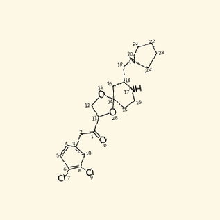 O=C(Cc1ccc(Cl)c(Cl)c1)C1COC2(CCNC(CN3CCCC3)C2)O1